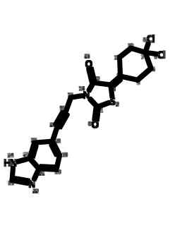 O=C1SC(=C2CCC(Cl)(Cl)CC2)C(=O)N1CC#Cc1ccc2nc[nH]c2c1